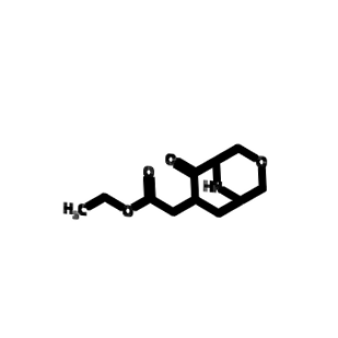 CCOC(=O)CC1CC2COCC(N2)C1=O